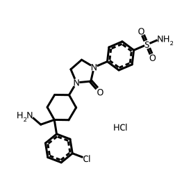 Cl.NCC1(c2cccc(Cl)c2)CCC(N2CCN(c3ccc(S(N)(=O)=O)cc3)C2=O)CC1